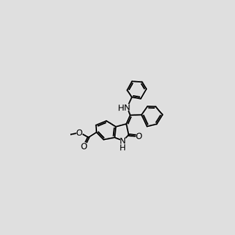 COC(=O)c1ccc2c(c1)NC(=O)C2=C(Nc1ccccc1)c1ccccc1